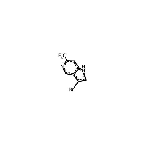 FC(F)(F)c1cc2[nH]cc(Br)c2cn1